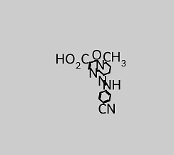 CC1CCC(=NNc2ccc(C#N)cc2)c2ncc(C(=O)O)c(=O)n21